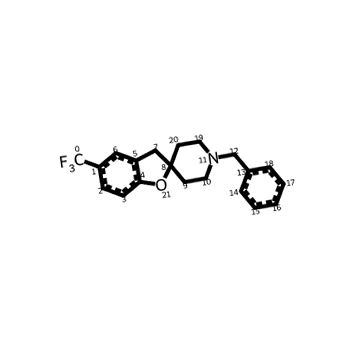 FC(F)(F)c1ccc2c(c1)CC1(CCN(Cc3ccccc3)CC1)O2